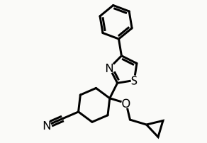 N#CC1CCC(OCC2CC2)(c2nc(-c3ccccc3)cs2)CC1